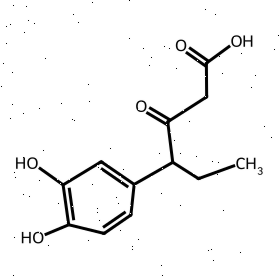 CCC(C(=O)CC(=O)O)c1ccc(O)c(O)c1